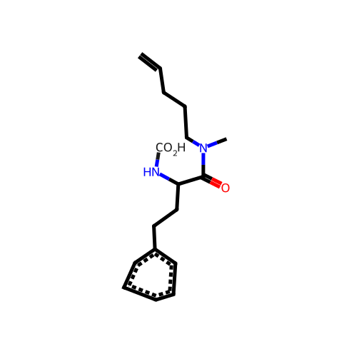 C=CCCCN(C)C(=O)C(CCc1ccccc1)NC(=O)O